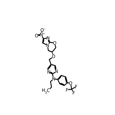 CCCN(c1ccc(OC(F)(F)F)cc1)c1ncc(CO[C@@H]2COc3nc([N+](=O)[O-])cn3C2)cn1